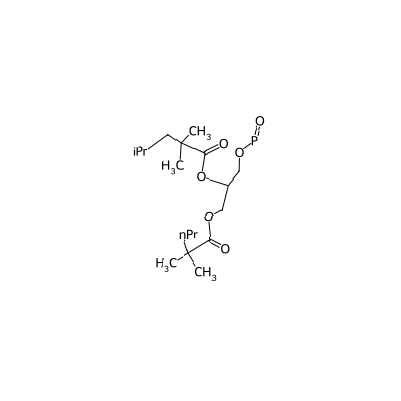 CCCC(C)(C)C(=O)OCC(COP=O)OC(=O)C(C)(C)CC(C)C